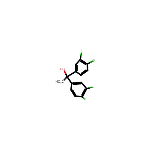 O=C(O)C(O)(c1ccc(F)c(Cl)c1)c1ccc(F)c(Cl)c1